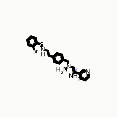 N/C(=C\N(N)Cc1ccc(CCNSc2ccccc2Br)cc1)c1cccnc1